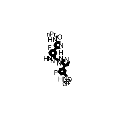 CCCC(=O)Nc1cncc(-c2cc3c(-c4nc5c(-c6cc(F)cc(CNS(C)(=O)=O)c6)ccnc5[nH]4)n[nH]c3cc2F)c1